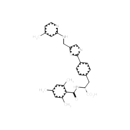 Cc1ccnc(NCc2cnc(-c3ccc(C[C@H](NC(=O)c4c(C)cc(C)cc4C)C(=O)O)cc3)s2)c1